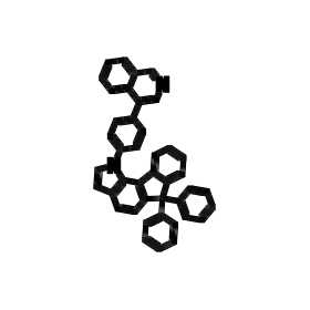 c1ccc(C2(c3ccccc3)c3ccccc3-c3c2ccc2ccn(-c4ccc(-c5cncc6ccccc56)cc4)c32)cc1